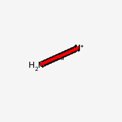 [Ar].[N-]=[N+]=NCCOCCOCCOCCOCCOCCOCCOCCOCCOCCOCCOCCOCCOCCOCCOCCOCCOCCOCCOCCOCCOCCOCCOCCN